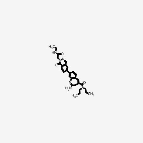 CCCN(CCC)C(=O)C1=Cc2ccc(-c3ccc4c(=O)n(CC(=O)NCC)ncc4c3)cc2N=C(N)C1